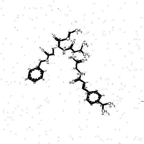 CCOC(=O)[C@@H](CCC(=O)OCc1ccccc1)NC(=O)[C@@H](NC(=O)CNC(=O)/C=C/c1ccc(C(C)C)cc1)C(C)C